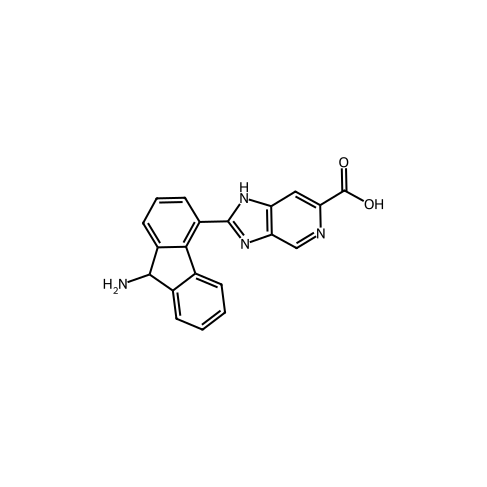 NC1c2ccccc2-c2c(-c3nc4cnc(C(=O)O)cc4[nH]3)cccc21